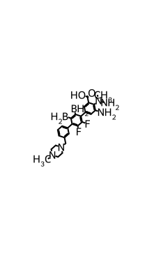 Bc1c(B)c(-c2cc(N)c(N(C)N)c(C(=O)O)c2)c(F)c(F)c1-c1cccc(CN2CCN(C)CC2)c1